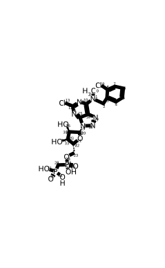 CN(Cc1ccccc1Cl)c1nc(Cl)nc2c1nnn2[C@@H]1O[C@H](COP(=O)(O)CP(=O)(O)O)[C@@H](O)[C@H]1O